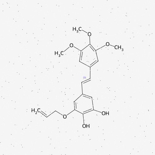 C=CCOc1cc(/C=C/c2cc(OC)c(OC)c(OC)c2)cc(O)c1O